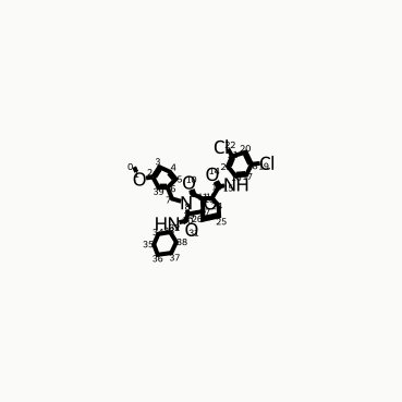 COc1cccc(CN2C(=O)C3C(C(=O)Nc4cc(Cl)cc(Cl)c4)C4C=CC3(O4)C2C(=O)NC2CCCCC2)c1